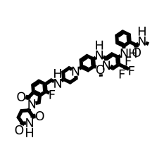 CNC(=O)c1ccccc1Nc1cc(Nc2ccc(N3CCC(NCc4ccc5c(c4F)CN(C4CCC(=O)NC4=O)C5=O)CC3)cc2OC)ncc1C(F)(F)F